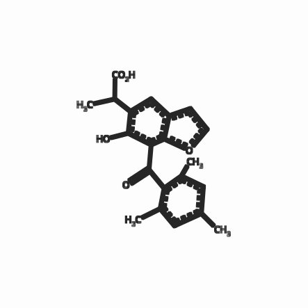 Cc1cc(C)c(C(=O)c2c(O)c(C(C)C(=O)O)cc3ccoc23)c(C)c1